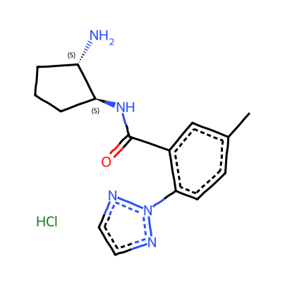 Cc1ccc(-n2nccn2)c(C(=O)N[C@H]2CCC[C@@H]2N)c1.Cl